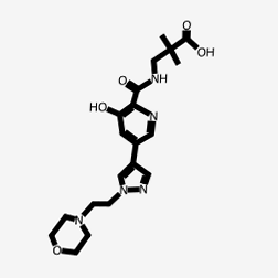 CC(C)(CNC(=O)c1ncc(-c2cnn(CCN3CCOCC3)c2)cc1O)C(=O)O